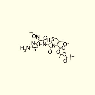 CCO/N=C(/C(=O)NC1C(=O)N2C(C(=O)OC(C)OC(=O)C(C)(C)C)=C(COC)CS[C@H]12)c1csc(N)n1